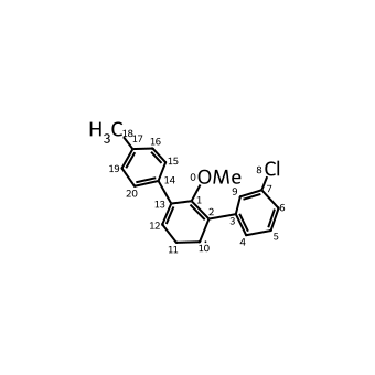 COC1=C(c2cccc(Cl)c2)[CH]CC=C1c1ccc(C)cc1